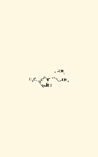 CCC(CC)c1cc(C)c[nH]1